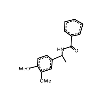 COc1ccc(C(C)NC(=O)c2ccccc2)cc1OC